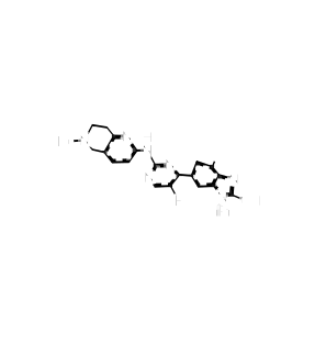 CCN1CCc2nc(Nc3ncc(F)c(-c4cc(F)c5nc(C)n(C(C)C)c5c4)n3)ccc2C1